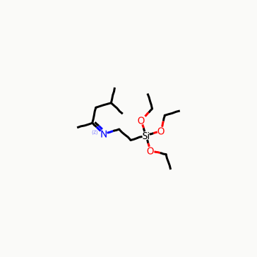 CCO[Si](CC/N=C(/C)CC(C)C)(OCC)OCC